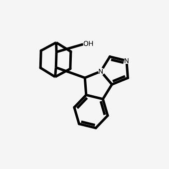 OC1C2CCC(CC2)C1C1c2ccccc2-c2cncn21